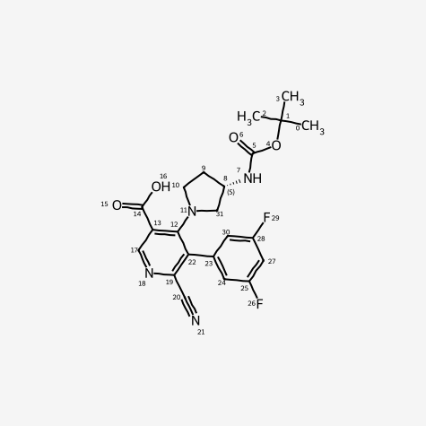 CC(C)(C)OC(=O)N[C@H]1CCN(c2c(C(=O)O)cnc(C#N)c2-c2cc(F)cc(F)c2)C1